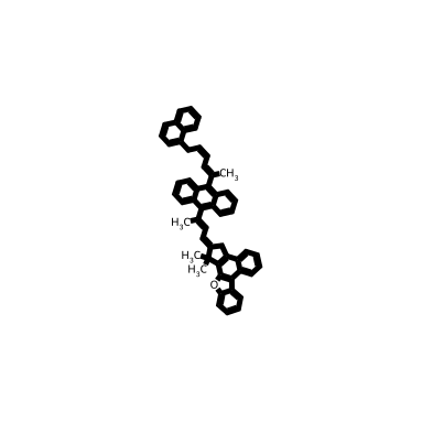 C/C(=C\C=C/Cc1cccc2ccccc12)c1c2ccccc2c(/C(C)=C/C=C2\Cc3c(c4oc5ccccc5c4c4ccccc34)C2(C)C)c2ccccc12